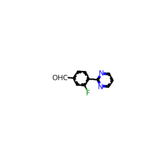 O=Cc1ccc(-c2ncccn2)c(F)c1